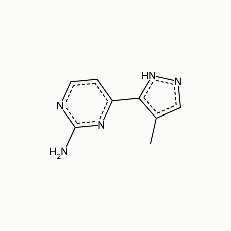 Cc1cn[nH]c1-c1ccnc(N)n1